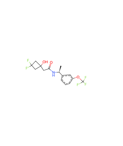 C[C@H](NC(=O)CC1(O)CC(F)(F)C1)c1cccc(OC(F)(F)F)c1